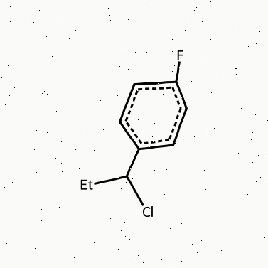 CCC(Cl)c1ccc(F)cc1